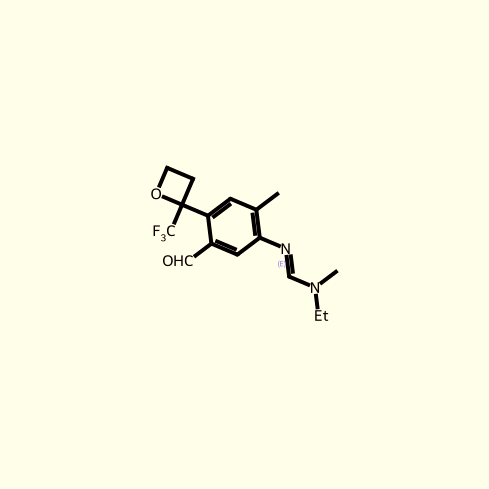 CCN(C)/C=N/c1cc(C=O)c(C2(C(F)(F)F)CCO2)cc1C